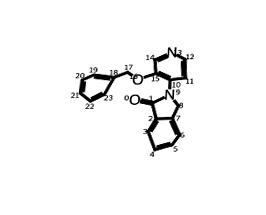 O=C1c2ccccc2CN1c1ccncc1OCc1ccccc1